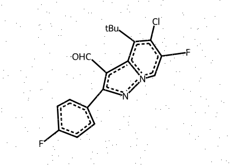 CC(C)(C)c1c(Cl)c(F)cn2nc(-c3ccc(F)cc3)c([C]=O)c12